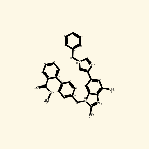 CCCc1nc2c(C)cc(-c3cn(Cc4ccccc4)cn3)cc2n1Cc1ccc(-c2ccccc2C(=O)OC(C)(C)C)cc1